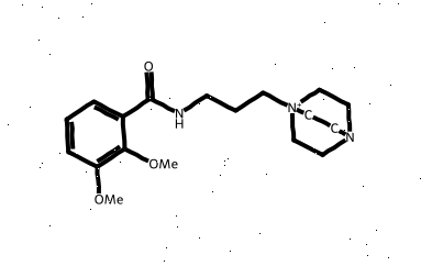 COc1cccc(C(=O)NCCC[N+]23CCN(CC2)CC3)c1OC